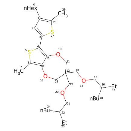 CCCCCCc1cc(-c2sc(C)c3c2OCC(COCC(CC)CCCC)(COCC(CC)CCCC)CO3)sc1C